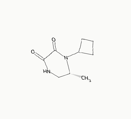 C[C@@H]1CNC(=O)C(=O)N1C1CCC1